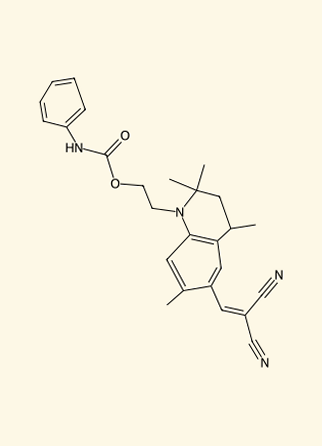 Cc1cc2c(cc1C=C(C#N)C#N)C(C)CC(C)(C)N2CCOC(=O)Nc1ccccc1